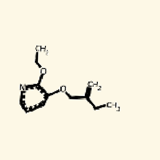 C=C(CC)COc1cccnc1OCC